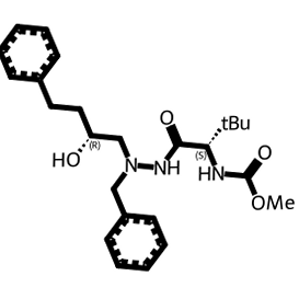 COC(=O)N[C@H](C(=O)NN(Cc1ccccc1)C[C@H](O)CCc1ccccc1)C(C)(C)C